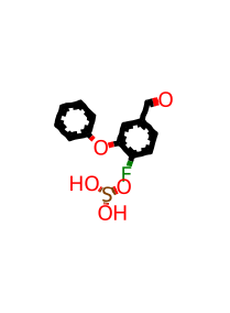 O=Cc1ccc(F)c(Oc2ccccc2)c1.O=S(O)O